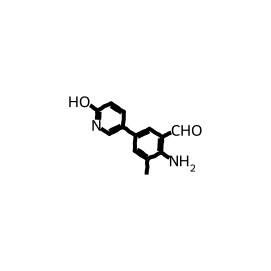 Cc1cc(-c2ccc(O)nc2)cc(C=O)c1N